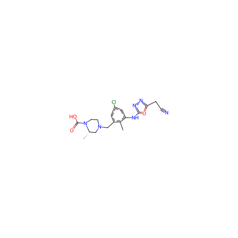 Cc1c(CN2CCN(C(=O)O)[C@@H](C)C2)cc(Cl)cc1Nc1nnc(CC#N)o1